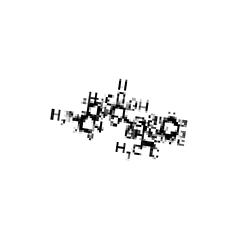 COC(=O)[C@H](C)NP(=O)(Oc1ccccc1)O[C@@H](C)[C@H]1O[C@@H](n2ccc3c(N)ccnc32)[C@](C)(O)[C@@H]1O